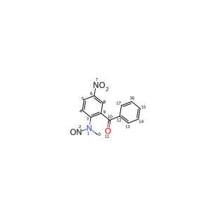 CN(N=O)c1ccc([N+](=O)[O-])cc1C(=O)c1ccccc1